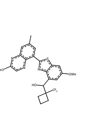 COc1cc(C(O)C2(C(F)(F)F)CCC2)c2nc(-c3cc(C)cc4nc(OC)cnc34)sc2c1